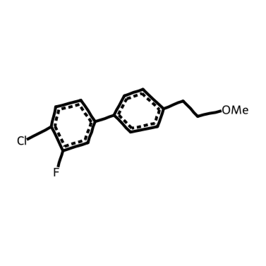 COCCc1ccc(-c2ccc(Cl)c(F)c2)cc1